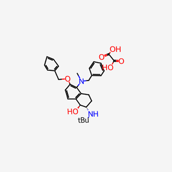 CN(Cc1ccccc1)c1c(OCc2ccccc2)ccc2c1CC[C@H](NC(C)(C)C)[C@H]2O.O=C(O)C(=O)O